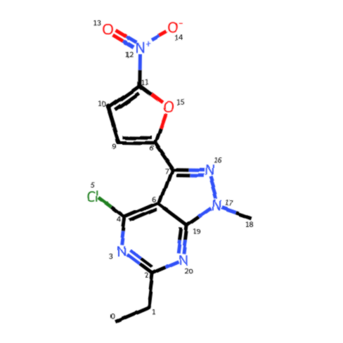 CCc1nc(Cl)c2c(-c3ccc([N+](=O)[O-])o3)nn(C)c2n1